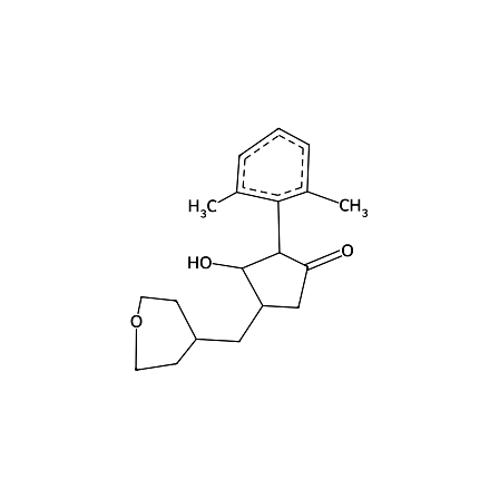 Cc1cccc(C)c1C1C(=O)CC(CC2CCOCC2)C1O